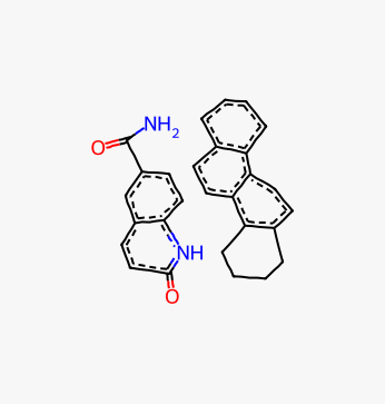 NC(=O)c1ccc2[nH]c(=O)ccc2c1.c1ccc2c(c1)ccc1c3c(ccc12)CCCC3